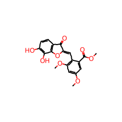 COC(=O)c1cc(OC)cc(OC)c1C=C1Oc2c(ccc(O)c2O)C1=O